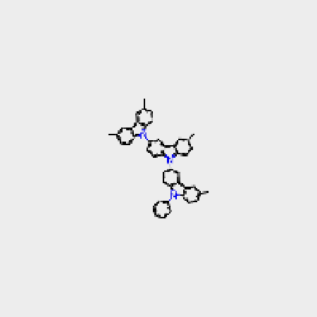 Cc1ccc2c(c1)c1cc(C)ccc1n2-c1ccc2c(c1)c1cc(C)ccc1n2-c1ccc2c(c1)c1cc(C)ccc1n2-c1ccccc1